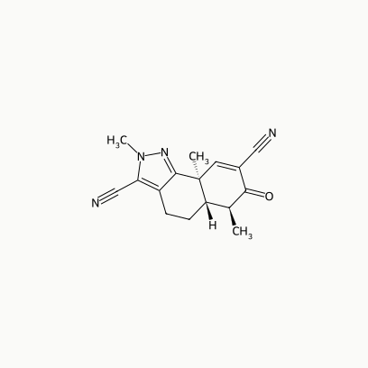 C[C@@H]1C(=O)C(C#N)=C[C@]2(C)c3nn(C)c(C#N)c3CC[C@@H]12